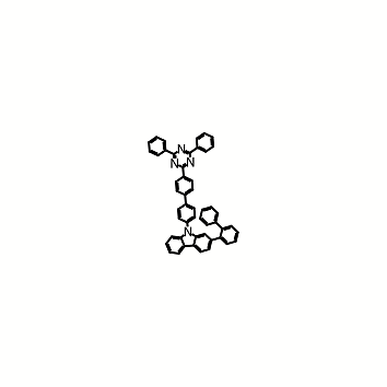 c1ccc(-c2nc(-c3ccccc3)nc(-c3ccc(-c4ccc(-n5c6ccccc6c6ccc(-c7ccccc7-c7ccccc7)cc65)cc4)cc3)n2)cc1